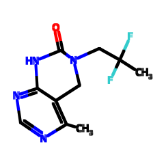 Cc1ncnc2c1CN(CC(C)(F)F)C(=O)N2